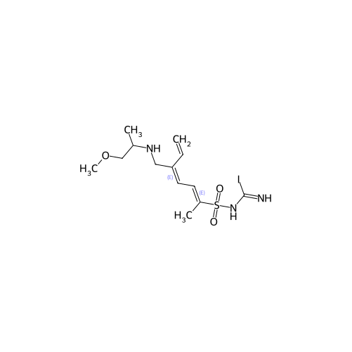 C=C/C(=C\C=C(/C)S(=O)(=O)NC(=N)I)CNC(C)COC